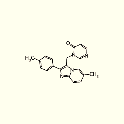 Cc1ccc(-c2nc3ccc(C)cn3c2Cn2cnccc2=O)cc1